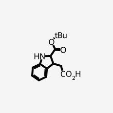 CC(C)(C)OC(=O)C1Nc2ccccc2C1CC(=O)O